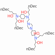 CCCCCCCCCCCCC(O)CN(CCN1CCN(C2CCC(N(CC(O)CCCCCCCCCCCC)CC(O)CCCCCCCCCCCC)CC2)CC1)C1CCC(N(CC(O)CCCCCCCCCCCC)CC(O)CCCCCCCCCCCC)CC1